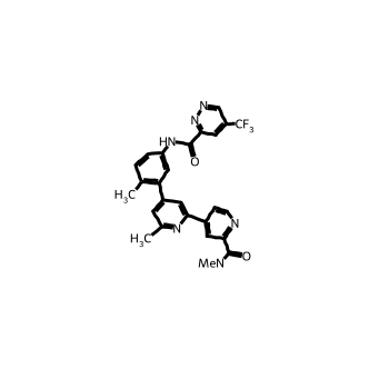 CNC(=O)c1cc(-c2cc(-c3cc(NC(=O)c4cc(C(F)(F)F)cnn4)ccc3C)cc(C)n2)ccn1